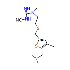 Cc1cc(CSCCN(C)C(=N)NC#N)sc1CN(C)C